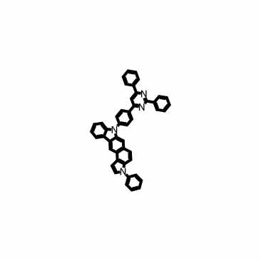 c1ccc(-c2cc(-c3ccc(-n4c5ccccc5c5cc6c(ccc7c6ccn7-c6ccccc6)cc54)cc3)nc(-c3ccccc3)n2)cc1